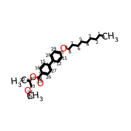 CCCCCCCCCOc1ccc(-c2ccc(C(=O)OC(C)COC)cc2)cc1